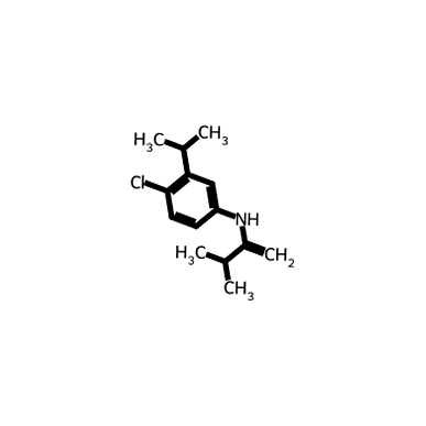 C=C(Nc1ccc(Cl)c(C(C)C)c1)C(C)C